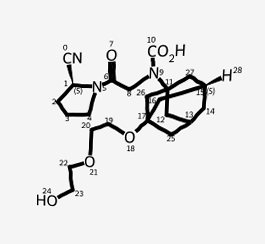 N#C[C@@H]1CCCN1C(=O)CN(C(=O)O)C12CC3C[C@H](CC(OCCOCCO)(C3)C1)C2